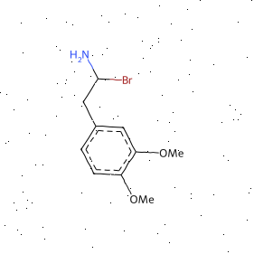 COc1ccc(CC(N)Br)cc1OC